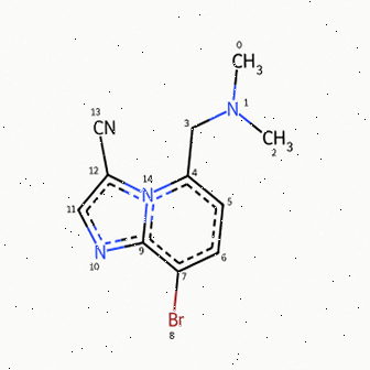 CN(C)Cc1ccc(Br)c2ncc(C#N)n12